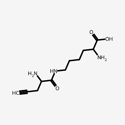 C#CCC(N)C(=O)NCCCCC(N)C(=O)O